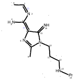 C/C=N\C(N)=C1\N=C(C)N(CCCNC(C)C)C1=N